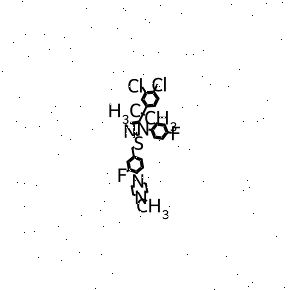 CN1CCN(c2ccc(CSc3ncc(C(C)(C)c4ccc(Cl)c(Cl)c4)n3-c3ccc(F)cc3)cc2F)CC1